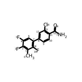 Cc1c(F)c(F)cc(-c2ccc(C(N)=O)c(Cl)c2)c1F